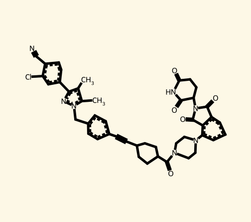 Cc1c(-c2ccc(C#N)c(Cl)c2)nn(Cc2ccc(C#CC3CCC(C(=O)N4CCN(c5cccc6c5C(=O)N(C5CCC(=O)NC5=O)C6=O)CC4)CC3)cc2)c1C